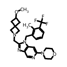 COC1CC2(C1)CN(Cc1nc3cnc(N4CCOCC4)cc3n1Cc1cccc(C(F)(F)F)c1C)C2